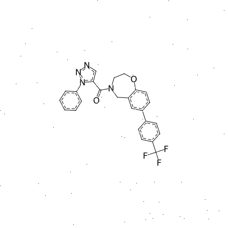 O=C(c1cnnn1-c1ccccc1)N1CCOc2ccc(-c3ccc(C(F)(F)F)cc3)cc2C1